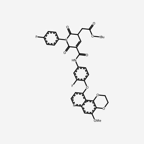 COc1cc2nccc(Oc3ccc(NC(=O)C4=CC(CC(=O)OC(C)(C)C)C(=O)N(c5ccc(F)cc5)C4=O)cc3F)c2c2c1OCCO2